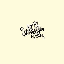 CCNC(=O)[C@H]1O[C@@H](n2cnc3c(NCC(c4ccccc4)c4ccccc4)nc(NCCn4ccnc4C)nc32)[C@@H]2OC(C)(C)O[C@@H]21